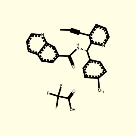 CC#Cc1cccnc1[C@@H](NC(=O)c1ccc2cccnc2c1)c1ccc(C(F)(F)F)cc1.O=C(O)C(F)(F)F